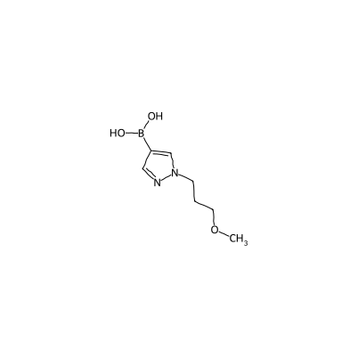 COCCCn1cc(B(O)O)cn1